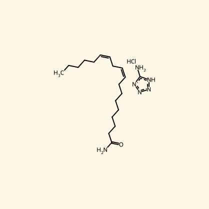 CCCCC/C=C\C/C=C\CCCCCCCC(N)=O.Cl.Nc1nnn[nH]1